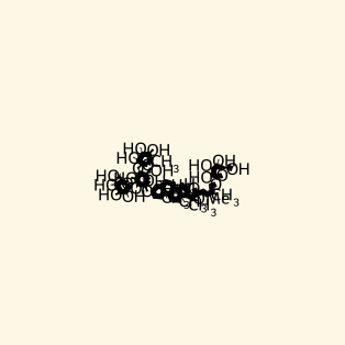 CO[C@]1(CC[C@H](C)CO[C@@H]2O[C@H](CO)[C@@H](O)[C@H](O)[C@H]2O)O[C@H]2C[C@H]3[C@@H]4CC[C@@H]5C[C@@H](O[C@@H]6O[C@H](CO)[C@@H](O[C@@H]7O[C@@H](C)[C@H](O)[C@@H](O)[C@H]7O)[C@H](O)[C@H]6O[C@@H]6O[C@H](CO)[C@@H](O)[C@H](O)[C@H]6O)CC[C@]5(C)[C@H]4CC[C@]3(C)[C@H]2[C@@H]1C